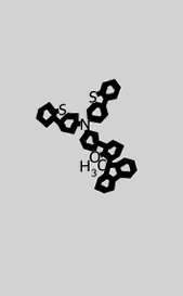 CC1(c2cccc3c2oc2ccc(N(c4ccc5c(c4)sc4ccccc45)c4ccc5c(c4)sc4ccccc45)cc23)c2ccccc2-c2ccccc21